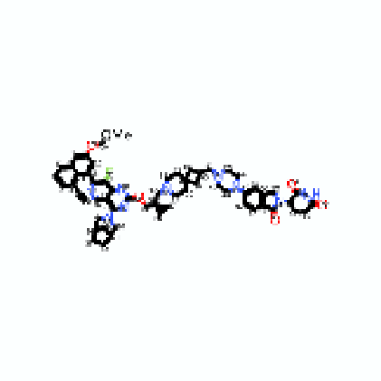 C#Cc1cccc2cc(OCOC)cc(-c3ncc4c(N5CC6CCC(C6)C5)nc(OCC5(CN6CCC7(CC6)CC(CN6CCN(c8ccc9c(c8)CN([C@H]8CCC(=O)NC8=O)C9=O)CC6)C7)CC5)nc4c3F)c12